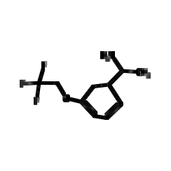 CC(N)C1C=CC=C(OCC(F)(F)F)C1